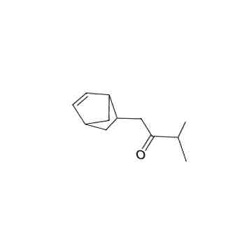 CC(C)C(=O)CC1CC2C=CC1C2